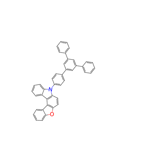 c1ccc(-c2cc(-c3ccccc3)cc(-c3ccc(-n4c5ccccc5c5c6c(ccc54)oc4ccccc46)cc3)c2)cc1